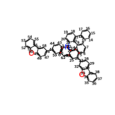 c1ccc(-c2ccccc2-c2c(-c3ccccc3)cccc2N(c2ccc(-c3ccc4c(c3)oc3ccccc34)cc2)c2ccc(-c3ccc4oc5ccccc5c4c3)cc2)cc1